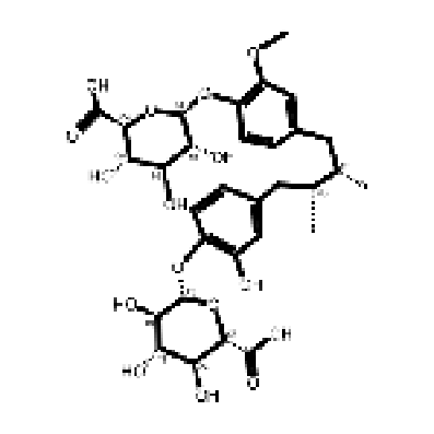 COc1cc(C[C@H](C)[C@H](C)Cc2ccc(O[C@@H]3O[C@H](C(=O)O)[C@@H](O)[C@H](O)[C@H]3O)c(O)c2)ccc1O[C@@H]1O[C@H](C(=O)O)[C@@H](O)[C@H](O)[C@H]1O